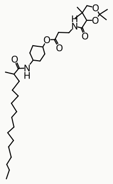 CCCCCCCCCCCCCCC(C)C(=O)NC1CCC(OC(=O)CCNC(=O)C2OC(C)(C)OCC2(C)C)CC1